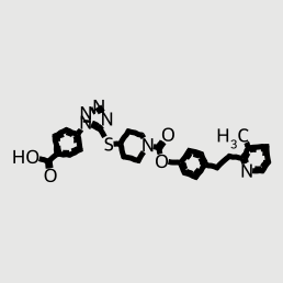 Cc1cccnc1CCc1ccc(OC(=O)N2CCC(Sc3nnnn3-c3ccc(C(=O)O)cc3)CC2)cc1